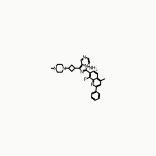 Cc1cc(-c2ccccc2)nc2c(F)c(C3=NC(C4CC(N5CCN(C)CC5)C4)=C4C=NC=C[N+]34N)ccc12